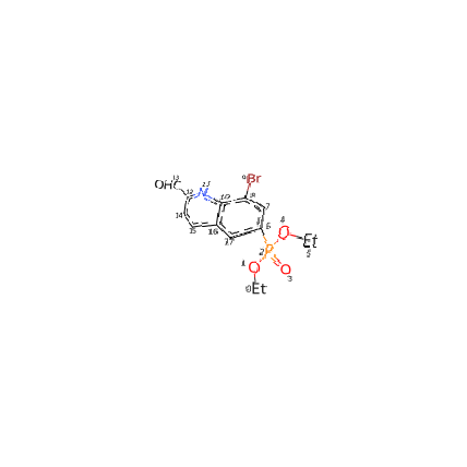 CCOP(=O)(OCC)c1cc(Br)c2nc(C=O)ccc2c1